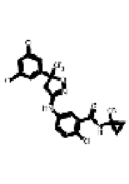 N#CC1(NC(=O)c2cc(NC3=NOC(c4cc(Cl)cc(Cl)c4)(C(F)(F)F)C3)ccc2Cl)CC1